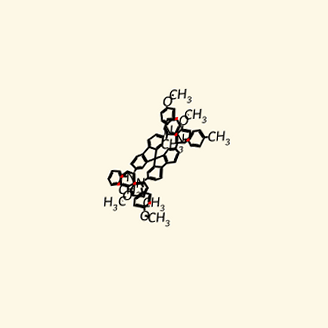 COc1ccc(N(c2ccc3c(c2)C2(c4cc(N(c5ccc(C)cc5)c5ccccc5C)ccc4-3)c3cc(N(c4ccc(C)cc4)c4ccccc4C)ccc3-c3ccc(N(c4ccc(OC)cc4)c4ccccc4OC)cc32)c2ccccc2OC)cc1